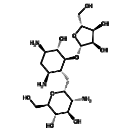 N[C@@H]1[C@@H](O)[C@H](O)[C@@H](CO)O[C@@H]1C[C@H]1[C@H](O[C@@H]2O[C@H](CO)[C@@H](O)[C@H]2O)[C@@H](O)[C@H](N)C[C@@H]1N